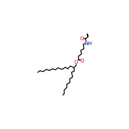 C=CC(=O)NCCCCCC(=O)OCC(CCCCCCCCCC)CCCCCCCCCCCC